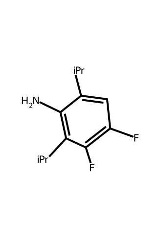 CC(C)c1cc(F)c(F)c(C(C)C)c1N